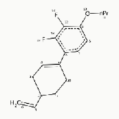 C=CC1CC=C(c2ccc(OCCC)c(F)c2F)CC1